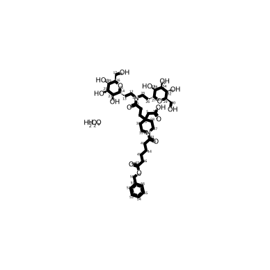 O.O.O=C(O)CC1(CCC(=O)N(CC[C@H]2O[C@H](CO)[C@@H](O)[C@H](O)[C@@H]2O)CC[C@H]2O[C@H](CO)[C@@H](O)[C@H](O)[C@@H]2O)CCN(C(=O)CCCCC(=O)OCc2ccccc2)CC1